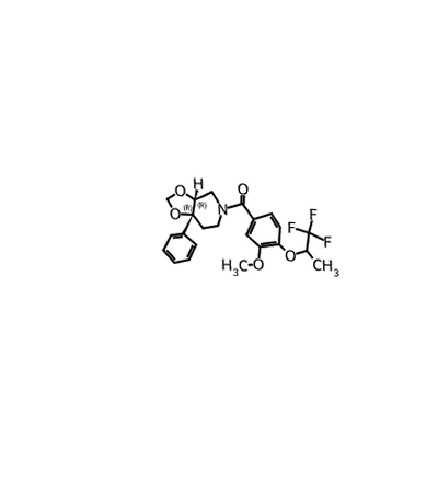 COc1cc(C(=O)N2CC[C@]3(c4ccccc4)OCO[C@@H]3C2)ccc1OC(C)C(F)(F)F